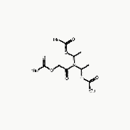 CC(OC(=O)C(C)(C)C)N(C(=O)COC(=O)C(C)(C)C)C(C)OC(=O)C(C)(C)C